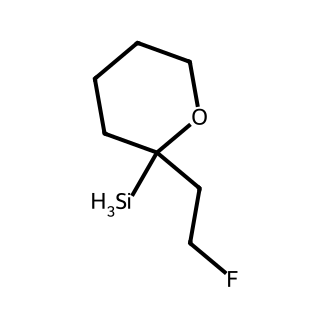 FCCC1([SiH3])CCCCO1